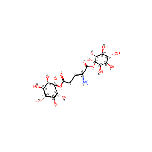 N[C@@H](CCC(=O)O[C@]1(O)[C@H](O)[C@H](O)[C@@H](O)[C@H](O)[C@H]1O)C(=O)O[C@]1(O)[C@H](O)[C@H](O)[C@@H](O)[C@H](O)[C@H]1O